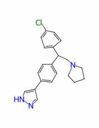 Clc1ccc(C(CN2CCCC2)c2ccc(-c3cn[nH]c3)cc2)cc1